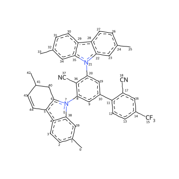 Cc1ccc2c3c(n(-c4cc(-c5ccc(C(F)(F)F)cc5C#N)cc(-n5c6cc(C)ccc6c6ccc(C)cc65)c4C#N)c2c1)CC(C)C=C3